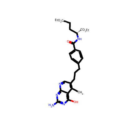 CCOC(=O)CC[C@@H](NC(=O)c1ccc(CCCc2cnc3nc(N)nc(O)c3c2C)cc1)C(=O)OCC